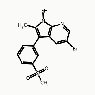 Cc1c(-c2cccc(S(C)(=O)=O)c2)c2cc(Br)cnc2n1S